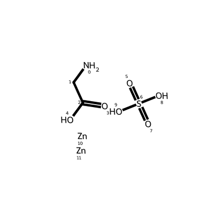 NCC(=O)O.O=S(=O)(O)O.[Zn].[Zn]